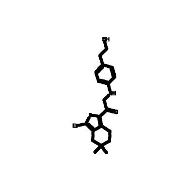 CCc1sc(C(=O)CNc2ccc(CCO)cc2)c2c1CC(C)(C)CC2